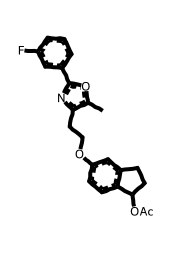 CC(=O)OC1CCc2cc(OCCc3nc(-c4cccc(F)c4)oc3C)ccc21